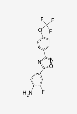 Nc1ccc(-c2nc(-c3ccc(OC(F)(F)F)cc3)no2)cc1F